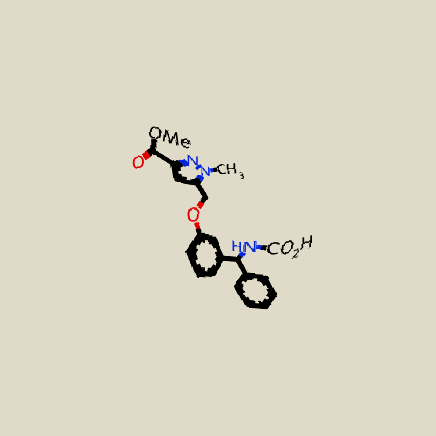 COC(=O)c1cc(COc2cccc(C(NC(=O)O)c3ccccc3)c2)n(C)n1